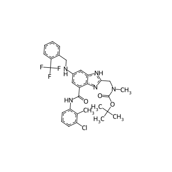 Cc1c(Cl)cccc1NC(=O)c1cc(NCc2ccccc2C(F)(F)F)cc2[nH]c(CN(C)C(=O)OC(C)(C)C)nc12